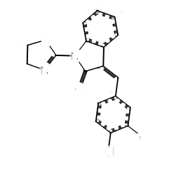 O=C1C(=Cc2ccc(Cl)c(Cl)c2)c2ccccc2N1C1=NCCS1